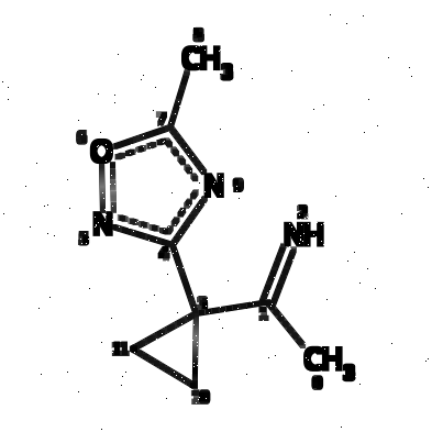 CC(=N)C1(c2noc(C)n2)CC1